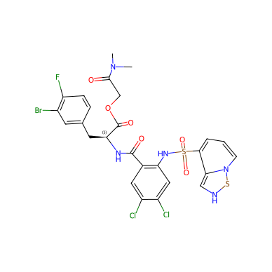 CN(C)C(=O)COC(=O)[C@H](Cc1ccc(F)c(Br)c1)NC(=O)c1cc(Cl)c(Cl)cc1NS(=O)(=O)C1=CC=CN2SNC=C12